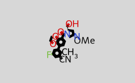 CO/N=C1/C[C@@H](CO)N(C(=O)c2ccc(-c3cc(F)cc(C#N)c3C)c3c2OCCO3)C1